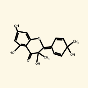 CC1(O)C=CC(=C2Oc3cc(O)cc(O)c3C(=O)C2(C)O)C=C1